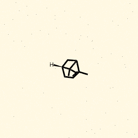 CC1=CC[C@@H]2CC1C2(C)C